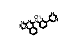 CN(c1cccc(-c2cncnc2)c1)c1nc2nncn2c2ccccc12